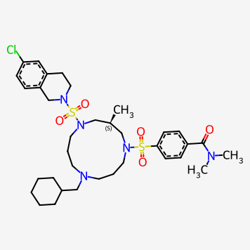 C[C@H]1CN(S(=O)(=O)c2ccc(C(=O)N(C)C)cc2)CCCN(CC2CCCCC2)CCCN(S(=O)(=O)N2CCc3cc(Cl)ccc3C2)C1